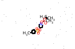 Cc1ccc(S(=O)(=O)OC2CCN(OC(=O)OC(C)(C)C)CC2)cc1